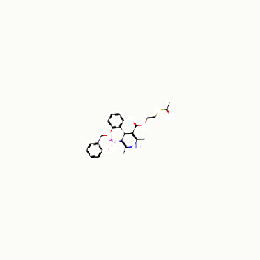 CC(=O)SCCOC(=O)C1=C(C)NC(C)=C([N+](=O)[O-])C1c1ccccc1OCc1ccccc1